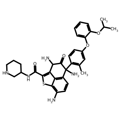 Cc1cc(Oc2ccccc2OC(C)C)ccc1C1(N)C(=O)C(N)c2c(C(=O)NC3CCCNC3)sc3c(N)ccc1c23